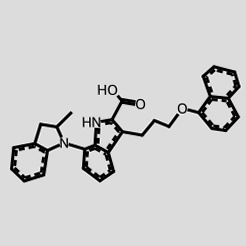 CC1Cc2ccccc2N1c1cccc2c(CCCOc3cccc4ccccc34)c(C(=O)O)[nH]c12